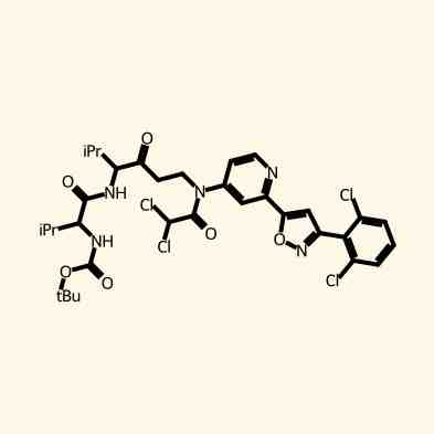 CC(C)C(NC(=O)C(NC(=O)OC(C)(C)C)C(C)C)C(=O)CCN(C(=O)C(Cl)Cl)c1ccnc(-c2cc(-c3c(Cl)cccc3Cl)no2)c1